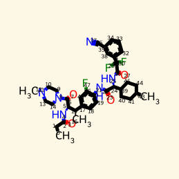 CCC(=O)N[C@@H](C(=O)N1CCN(C)CC1)[C@@H](C)c1ccc(NC(=O)[C@@H](NC(=O)C(F)(F)c2cccc(C#N)c2)C2CCC(C)CC2)c(F)c1